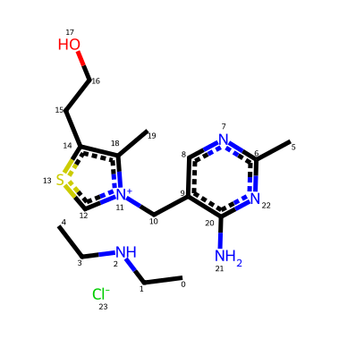 CCNCC.Cc1ncc(C[n+]2csc(CCO)c2C)c(N)n1.[Cl-]